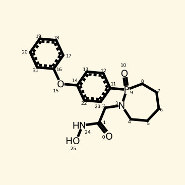 O=C(CN1CCCCCP1(=O)c1ccc(Oc2ccccc2)cc1)NO